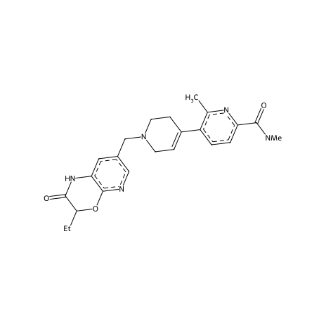 CCC1Oc2ncc(CN3CC=C(c4ccc(C(=O)NC)nc4C)CC3)cc2NC1=O